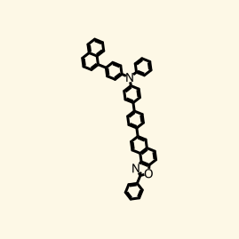 c1ccc(-c2nc3c(ccc4cc(-c5ccc(-c6ccc(N(c7ccccc7)c7ccc(-c8cccc9ccccc89)cc7)cc6)cc5)ccc43)o2)cc1